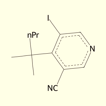 CCCC(C)(C)c1c(I)cncc1C#N